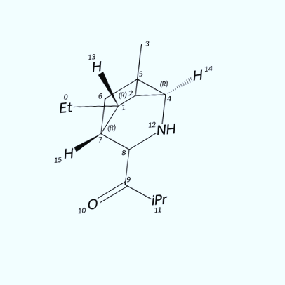 CC[C@@H]1C(C)[C@H]2CC[C@H]1C(C(=O)C(C)C)N2